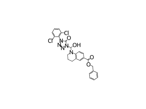 O=C(OCc1ccccc1)c1ccc2c(c1)CCCN2C(O)n1nnn(-c2c(Cl)cccc2Cl)c1=O